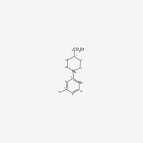 CCOC(=O)C1CCN(c2cc(C)ccn2)CC1